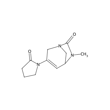 CN1C(=O)N2CC(N3CCCC3=O)=CC1C2